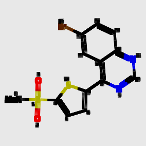 CNS(=O)(=O)c1ccc(-c2ncnc3ccc(Br)cc23)s1